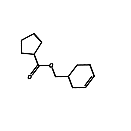 O=C(OCC1CC=CCC1)C1CCCC1